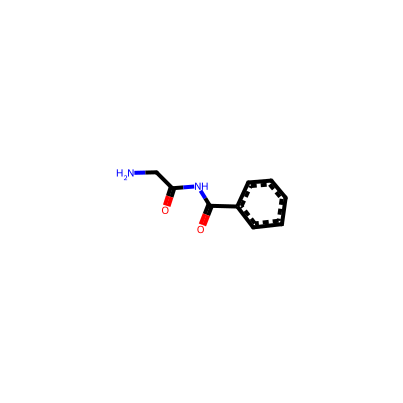 NCC(=O)NC(=O)c1ccccc1